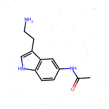 CC(=O)Nc1ccc2[nH]cc(CCN)c2c1